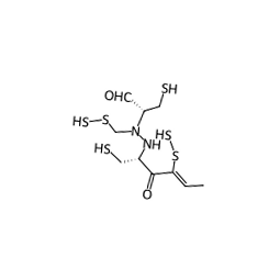 C/C=C(\SS)C(=O)[C@H](CS)NN(CSS)[C@H](C=O)CS